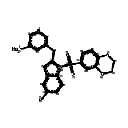 O=C(O)c1cncc(Cc2cc3cc(Cl)ccc3n2S(=O)(=O)c2ccc3c(c2)OCCO3)c1